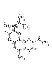 CCC(Oc1cc(C)c2ncc(SC)cc2c1)C(=O)NC(C)C